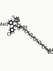 COc1ccc2c(c1)C(c1ccc(Cl)cc1)=N[C@@H](CC(=O)NCCOCCOCCOCCOCCOCCNC(=O)O)c1nnc(C)n1-2